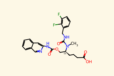 CN(C(=O)NCc1cccc(F)c1F)[C@@H](CCCC(=O)O)COC(=O)Nc1cc2ccccc2cn1